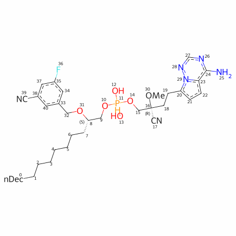 CCCCCCCCCCCCCCCCC[C@@H](CO[PH](O)(O)OC[C@](C#N)(CCc1ccc2c(N)ncnn12)OC)OCc1cc(F)cc(C#N)c1